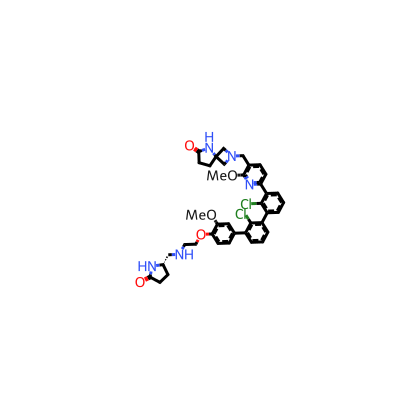 COc1cc(-c2cccc(-c3cccc(-c4ccc(CN5CC6(CCC(=O)N6)C5)c(OC)n4)c3Cl)c2Cl)ccc1OCCNC[C@@H]1CCC(=O)N1